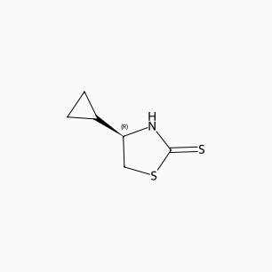 S=C1N[C@H](C2CC2)CS1